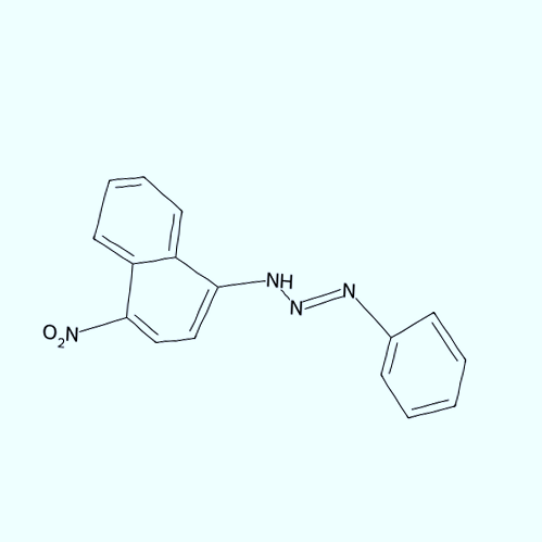 O=[N+]([O-])c1ccc(NN=Nc2ccccc2)c2ccccc12